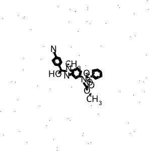 CCOC(=O)CN(c1ccc2c(c1)nc(C(O)c1ccc(C#N)cc1)n2C)S(=O)(=O)c1ccccc1